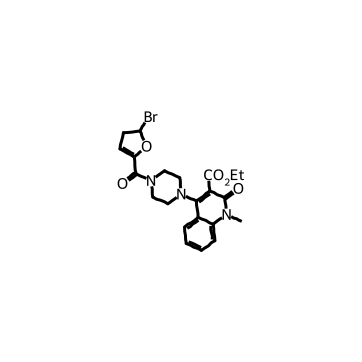 CCOC(=O)c1c(N2CCN(C(=O)C3=CCC(Br)O3)CC2)c2ccccc2n(C)c1=O